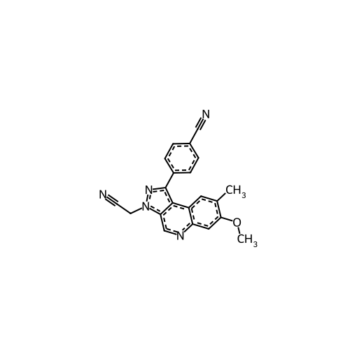 COc1cc2ncc3c(c(-c4ccc(C#N)cc4)nn3CC#N)c2cc1C